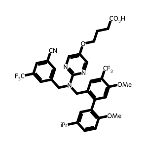 COc1ccc(C(C)C)cc1-c1cc(OC)c(C(F)(F)F)cc1CN(Cc1cc(C#N)cc(C(F)(F)F)c1)c1ncc(OCCCC(=O)O)cn1